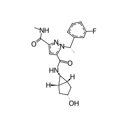 CNC(=O)c1cc(C(=O)N[C@H]2[C@@H]3C[C@H](O)C[C@@H]32)n([C@@H](C)c2cccc(F)c2)n1